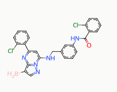 Bc1cnn2c(NCc3cccc(NC(=O)c4ccccc4Cl)c3)cc(-c3ccccc3Cl)nc12